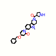 Cn1c2c(c3ccc(-n4ccc(OCc5ccccc5)cc4=O)cc31)CN(C(=O)C1CCNC1)CC2